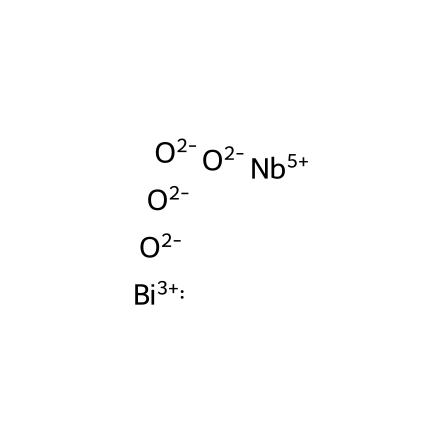 [Bi+3].[Nb+5].[O-2].[O-2].[O-2].[O-2]